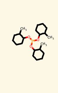 CC1CCCCC1OP(OC1CCCCC1C)OC1CCCCC1C